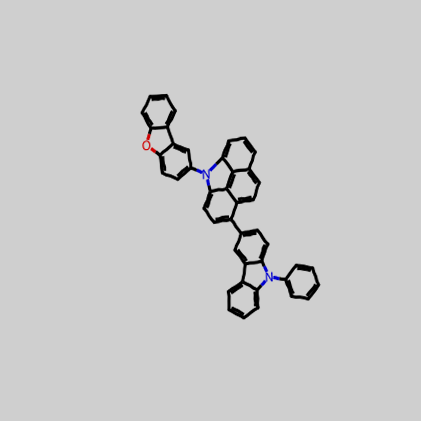 c1ccc(-n2c3ccccc3c3cc(-c4ccc5c6c4ccc4cccc(c46)n5-c4ccc5oc6ccccc6c5c4)ccc32)cc1